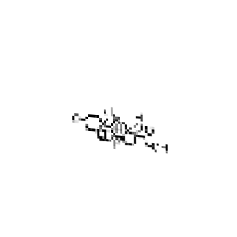 C[C@]12C=CC(=O)C=C1C=C[C@H]1[C@@H]3CC[C@](O)(C(=O)CO)[C@@]3(C)C[C@H](Cl)[C@@]12Cl